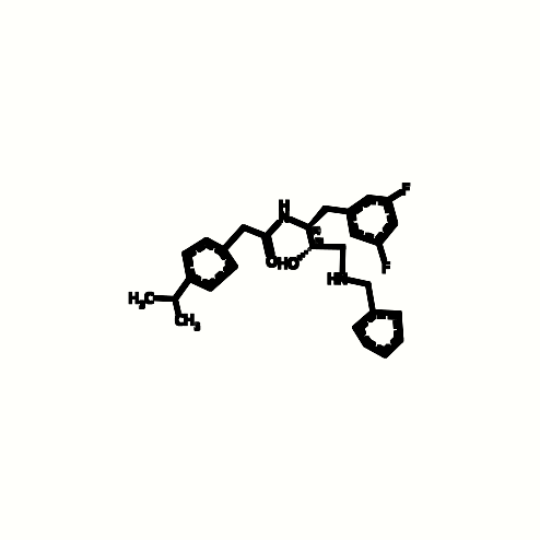 CC(C)c1ccc(CC(=O)N[C@@H](Cc2cc(F)cc(F)c2)[C@@H](O)CNCc2ccccc2)cc1